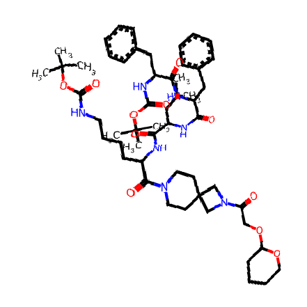 CC(C)CC(NC(=O)C(Cc1ccccc1)NC(=O)C(Cc1ccccc1)NC(=O)OC(C)(C)C)C(=O)NC(CCCCNC(=O)OC(C)(C)C)C(=O)N1CCC2(CC1)CN(C(=O)COC1CCCCO1)C2